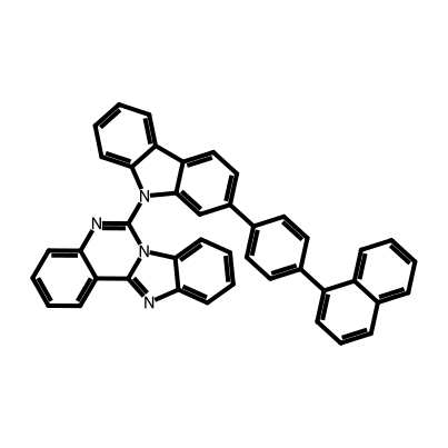 c1ccc2c(-c3ccc(-c4ccc5c6ccccc6n(-c6nc7ccccc7c7nc8ccccc8n67)c5c4)cc3)cccc2c1